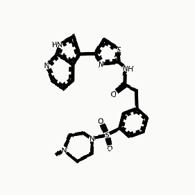 CN1CCN(S(=O)(=O)c2cccc(CC(=O)Nc3nc(-c4c[nH]c5ncccc45)cs3)c2)CC1